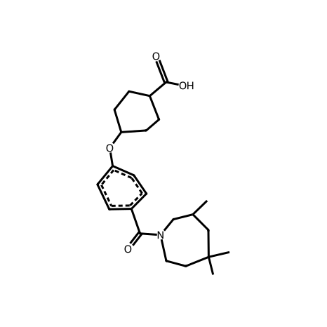 CC1CN(C(=O)c2ccc(OC3CCC(C(=O)O)CC3)cc2)CCC(C)(C)C1